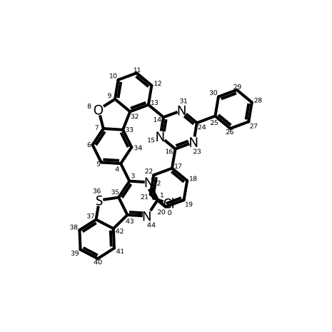 Clc1nc(-c2ccc3oc4cccc(-c5nc(-c6ccccc6)nc(-c6ccccc6)n5)c4c3c2)c2sc3ccccc3c2n1